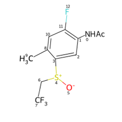 CC(=O)Nc1cc([S+]([O-])CC(F)(F)F)c(C)cc1F